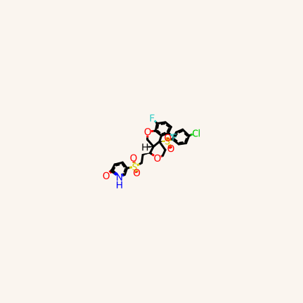 O=c1ccc(S(=O)(=O)CC[C@@H]2OCC[C@@]3(S(=O)(=O)c4ccc(Cl)cc4)c4c(F)ccc(F)c4OC[C@@H]23)c[nH]1